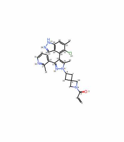 C=CC(=O)N1CC2(CC(n3nc(-c4cccnc4C)c(-c4c(Cl)c(C)cc5[nH]ncc45)c3C)C2)C1